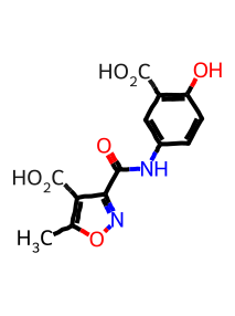 Cc1onc(C(=O)Nc2ccc(O)c(C(=O)O)c2)c1C(=O)O